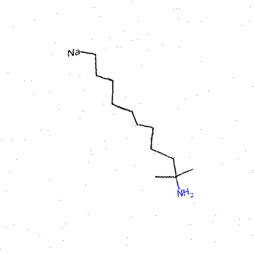 CC(C)(N)CCCCCCCC[CH2][Na]